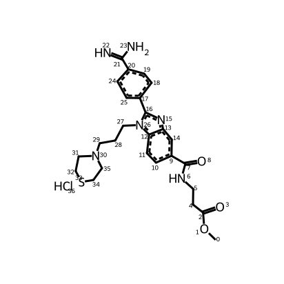 COC(=O)CCNC(=O)c1ccc2c(c1)nc(-c1ccc(C(=N)N)cc1)n2CCCN1CCSCC1.Cl